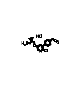 Cl.NCC1(COc2cnc(Cl)c(-c3ccc(N=C=S)cc3)c2)CC1